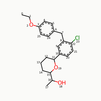 CCOc1ccc(Cc2cc(C3CCCC(C(C)O)O3)ccc2Cl)cc1